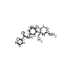 C[C@H]1CSC(N)=NC1(C)c1cccc(NC(=O)c2ccno2)c1